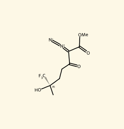 COC(=O)C(=[N+]=[N-])C(=O)CC[C@@](C)(O)C(F)(F)F